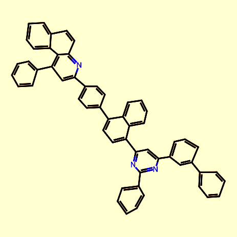 c1ccc(-c2cccc(-c3cc(-c4ccc(-c5ccc(-c6cc(-c7ccccc7)c7c(ccc8ccccc87)n6)cc5)c5ccccc45)nc(-c4ccccc4)n3)c2)cc1